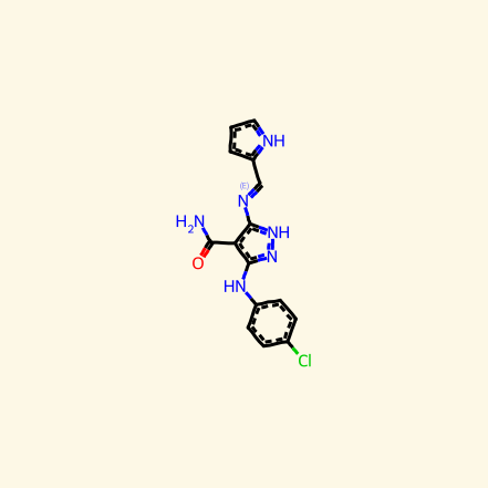 NC(=O)c1c(Nc2ccc(Cl)cc2)n[nH]c1/N=C/c1ccc[nH]1